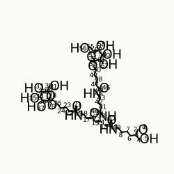 COCC(CO)CCCCNC(=O)C[C@H](CCCCNC(=O)CCCCO[C@@H]1OC(CO)[C@@H](O)[C@H](O)C1O)NC(=O)CCCNC(=O)CCCCO[C@@H]1OC(CO)[C@@H](O)[C@H](O)C1O